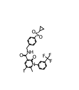 Cc1c(I)cc(C(=O)NCc2ccc(S(=O)(=O)C3CC3)cc2)c(=O)n1-c1cccc(C(F)(F)F)c1